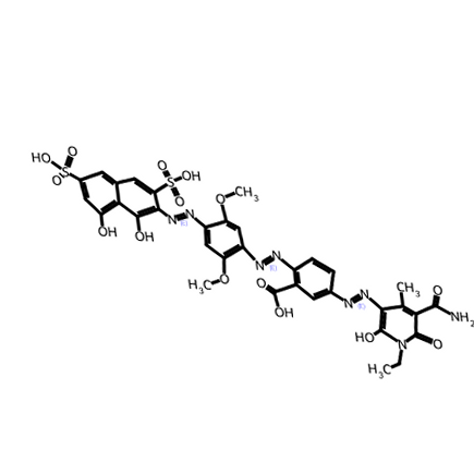 CCn1c(O)c(/N=N/c2ccc(/N=N/c3cc(OC)c(/N=N/c4c(S(=O)(=O)O)cc5cc(S(=O)(=O)O)cc(O)c5c4O)cc3OC)c(C(=O)O)c2)c(C)c(C(N)=O)c1=O